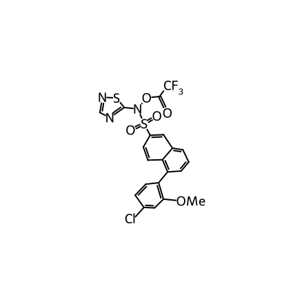 COc1cc(Cl)ccc1-c1cccc2cc(S(=O)(=O)N(OC(=O)C(F)(F)F)c3ncns3)ccc12